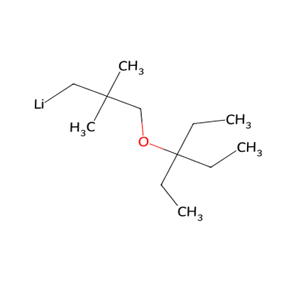 [Li][CH2]C(C)(C)COC(CC)(CC)CC